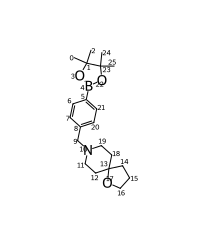 CC1(C)OB(c2ccc(CN3CCC4(CCCO4)CC3)cc2)OC1(C)C